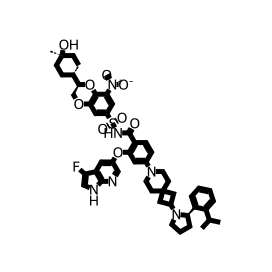 CC(C)c1ccccc1[C@H]1CCCN1C1CC2(CCN(c3ccc(C(=O)NS(=O)(=O)c4cc5c(c([N+](=O)[O-])c4)O[C@H]([C@H]4CC[C@](C)(O)CC4)CO5)c(Oc4cnc5[nH]cc(F)c5c4)c3)CC2)C1